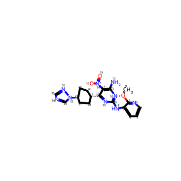 COc1ncccc1Nc1nc(N)c([N+](=O)[O-])c([C@H]2CC[C@H](n3cncn3)CC2)n1